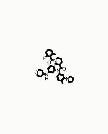 Cc1ccc(NC(=O)C2CCCN(C(=O)c3c(C)cccc3F)[C@H]2c2ccc(NC3CCOCC3)cc2)cc1N1CCCC1